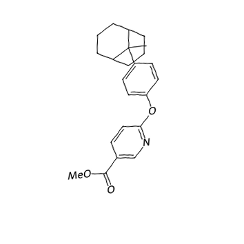 COC(=O)c1ccc(Oc2ccc(C3(C)C4CCCC3CCC4)cc2)nc1